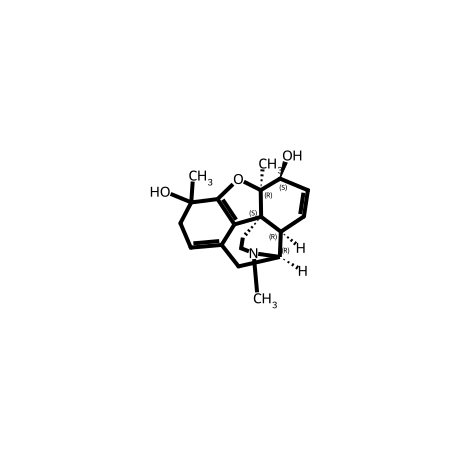 CN1CC[C@]23C4=C5O[C@@]2(C)[C@@H](O)C=C[C@H]3[C@H]1CC4=CCC5(C)O